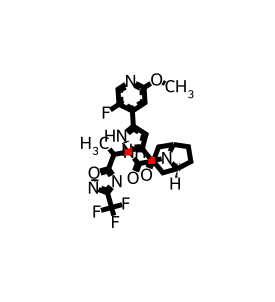 COc1cc(-c2cc(C(=O)N3C4CC[C@H]3CC(C(=O)NC(C)c3nc(C(F)(F)F)no3)C4)n[nH]2)c(F)cn1